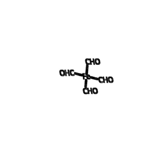 O=[CH][Fe]([CH]=O)([CH]=O)[CH]=O